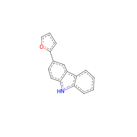 c1coc(-c2ccc3[nH]c4ccccc4c3c2)c1